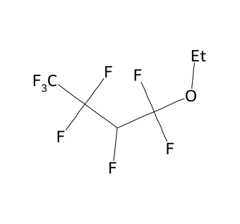 CCOC(F)(F)C(F)C(F)(F)C(F)(F)F